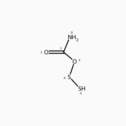 NC(=O)OSS